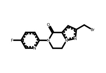 O=C1c2cc(CBr)nn2CCN1c1ccc(F)cn1